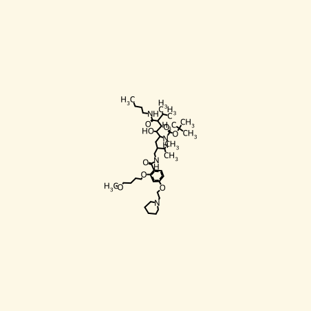 CCCCNC(=O)C(CC(O)C(CC(CNC(=O)c1ccc(OCCN2CCCCC2)cc1OCCCCOC)C(C)C)NC(=O)OC(C)(C)C)C(C)C